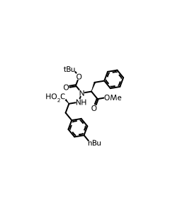 CCCCc1ccc(C[C@H](NN(C(=O)OC(C)(C)C)[C@@H](Cc2ccccc2)C(=O)OC)C(=O)O)cc1